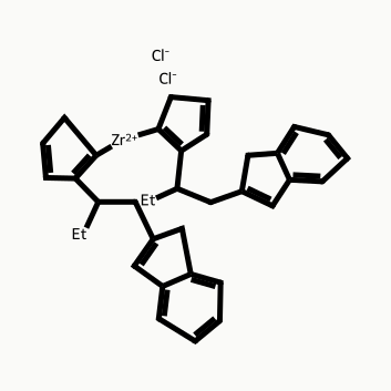 CCC(CC1=Cc2ccccc2C1)C1=[C]([Zr+2][C]2=C(C(CC)CC3=Cc4ccccc4C3)C=CC2)CC=C1.[Cl-].[Cl-]